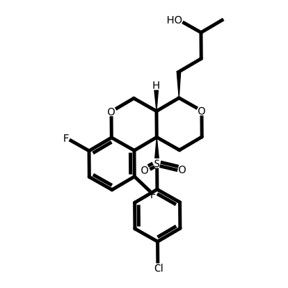 CC(O)CC[C@H]1OCC[C@]2(S(=O)(=O)c3ccc(Cl)cc3)c3c(F)ccc(F)c3OC[C@H]12